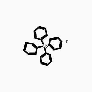 [I-].c1cc[c]([Sb+]([c]2ccccc2)([c]2ccccc2)[c]2ccccc2)cc1